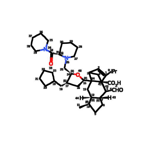 CC(C)C1=CC2CC3(C=O)[C@@H]4CC[C@@H](C)[C@H]4CC2([C@H]2C[C@H](CC4CCCC4)[C@H](CN4CCCC[C@H]4C(=O)N4CCCCC4)O2)[C@]13C(=O)O